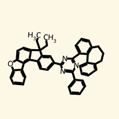 CCC1(CC)c2cc(-c3nc(-c4ccccc4)nc(-c4cccc5c4-c4ccccc4CCC5)n3)ccc2-c2c1ccc1oc3ccccc3c21